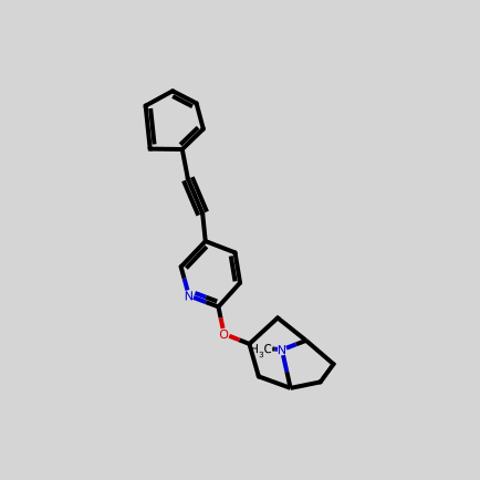 CN1C2CCC1CC(Oc1ccc(C#Cc3ccccc3)cn1)C2